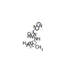 COCC(CC(C)C)NC1=N/C(=C\c2ccc3ncccc3n2)C(=O)N1